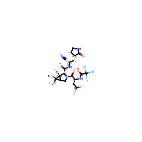 CC1(C)C2CN(C(=O)[C@H](CC(F)F)NC(=O)C(F)(F)F)[C@H](C(=O)N[C@H](C#N)C[C@@H]3CCNC3=O)[C@H]21